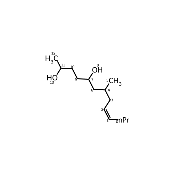 CCC/C=C\CC(C)CC(O)CCC(C)O